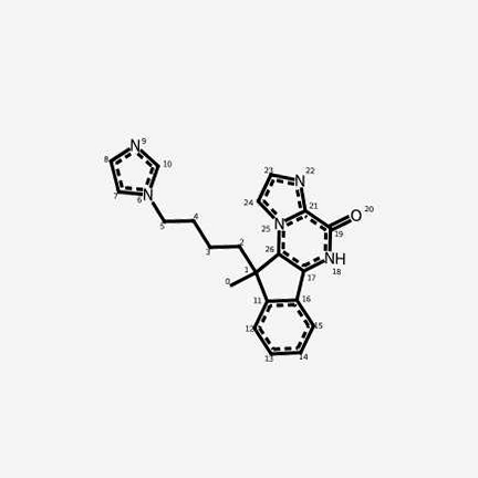 CC1(CCCCn2ccnc2)c2ccccc2-c2[nH]c(=O)c3nccn3c21